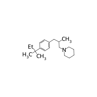 CCC(C)(C)c1ccc(CC(C)CN2CCCCC2)cc1